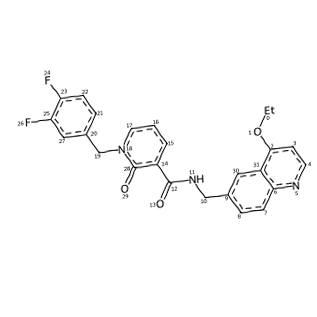 CCOc1ccnc2ccc(CNC(=O)c3cccn(Cc4ccc(F)c(F)c4)c3=O)cc12